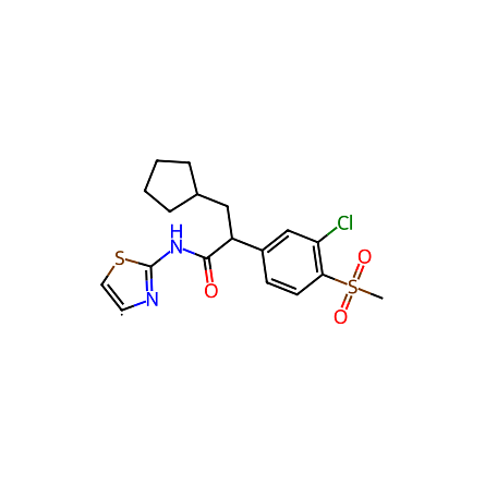 CS(=O)(=O)c1ccc(C(CC2CCCC2)C(=O)Nc2n[c]cs2)cc1Cl